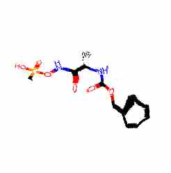 CCC[C@H](NC(=O)OCc1ccccc1)C(=O)NOP(C)(=O)O